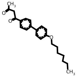 CCCCCCCOc1ccc(-c2ccc(C(=O)CC(C)=O)cc2)cc1